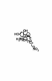 C=C(C)[C@]1(C(C)(C)CCCCCCO[N+](=O)[O-])CC(O)=CC(O)=C1[C@@H]1C=C(C)CCC1